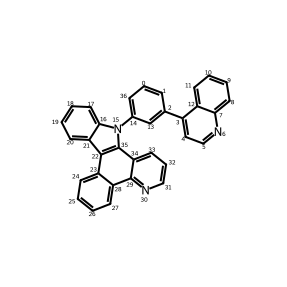 c1cc(-c2ccnc3ccccc23)cc(-n2c3ccccc3c3c4ccccc4c4ncccc4c32)c1